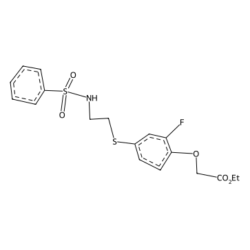 CCOC(=O)COc1ccc(SCCNS(=O)(=O)c2ccccc2)cc1F